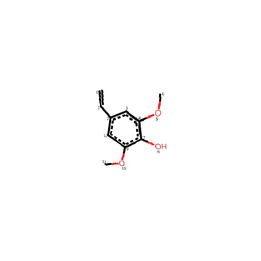 C=Cc1cc(OC)c(O)c(OC)c1